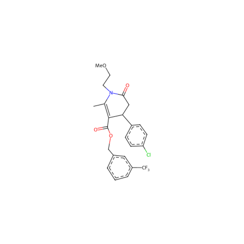 COCCN1C(=O)CC(c2ccc(Cl)cc2)C(C(=O)OCc2cccc(C(F)(F)F)c2)=C1C